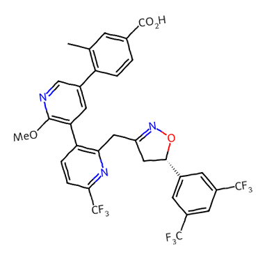 COc1ncc(-c2ccc(C(=O)O)cc2C)cc1-c1ccc(C(F)(F)F)nc1CC1=NO[C@H](c2cc(C(F)(F)F)cc(C(F)(F)F)c2)C1